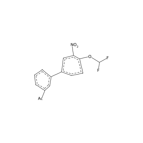 CC(=O)c1cccc(-c2ccc(OC(F)F)c([N+](=O)[O-])c2)c1